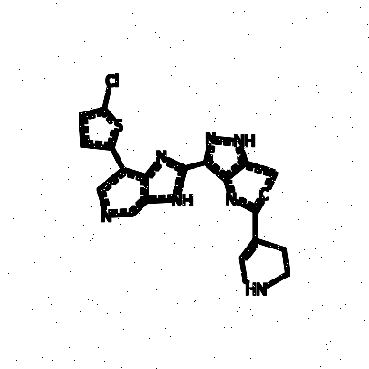 Clc1ccc(-c2cncc3[nH]c(-c4n[nH]c5ccc(C6=CCNCC6)nc45)nc23)s1